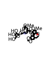 COC(=O)C[C@](O)(C/C=C/COC1OC(CO)C(O)C1O)C(=O)O[C@@H]1C(OC)=C[C@]23CCCN2CCc2cc4c(cc2[C@H]13)OCO4